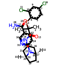 CC(C)(Sc1ccc(Cl)cc1Cl)C(=O)N[C@H]1C[C@H]2CC[C@@H](C1)N2c1ccc(C(N)=O)cn1